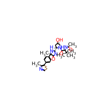 CC(=O)N[C@H](C(=O)N1C[C@H](O)C[C@H]1C1=NC(=O)[C@@](C)(c2ccc(-c3scnc3C)cc2)N1)C(C)(C)C